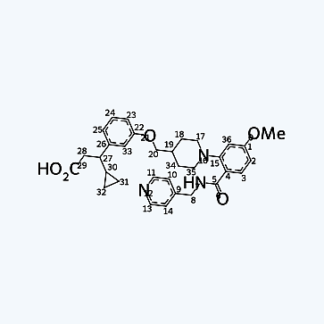 COc1ccc(C(=O)NCc2ccncc2)c(N2CCC(COc3cccc(C(CC(=O)O)C4CC4)c3)CC2)c1